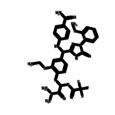 CCOc1cc(C(Nc2ccc(C(=N)N)cc2)c2nn(-c3ccccc3OC)c(=O)[nH]2)ccc1OC(OC(=O)C(F)(F)F)C(=O)N(C)C